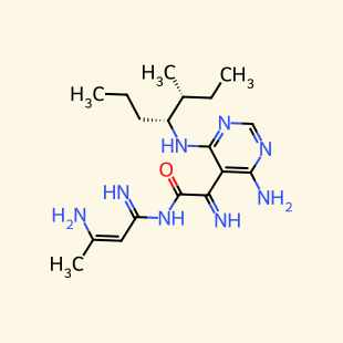 CCC[C@@H](Nc1ncnc(N)c1C(=N)C(=O)NC(=N)/C=C(/C)N)[C@H](C)CC